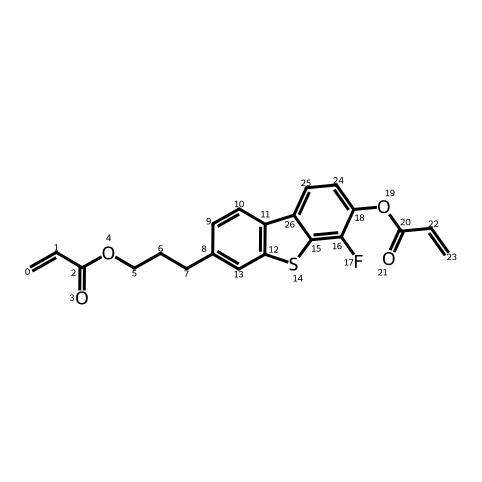 C=CC(=O)OCCCc1ccc2c(c1)sc1c(F)c(OC(=O)C=C)ccc12